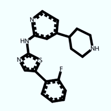 Fc1ccccc1-c1cnc(Nc2cc(C3CCNCC3)ccn2)s1